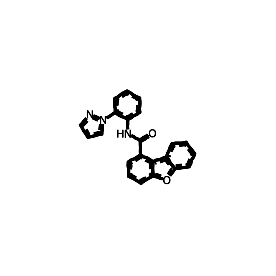 O=C(Nc1ccccc1-n1cccn1)c1cccc2oc3ccccc3c12